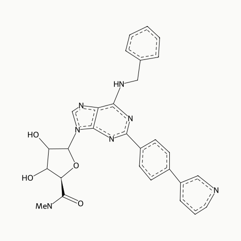 CNC(=O)[C@@H]1OC(n2cnc3c(NCc4ccccc4)nc(-c4ccc(-c5cccnc5)cc4)nc32)C(O)C1O